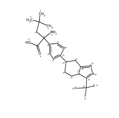 CC(C)(C)CC(N)(C(=O)O)c1ccc(N2CCn3c(nnc3C(F)(F)F)C2)cc1